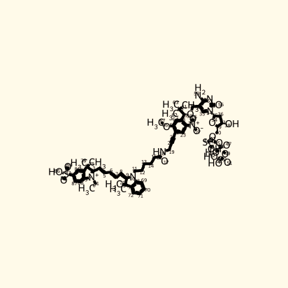 CC[N+]1=C(/C=C/C=C/C=C2/N(CCCCCC(=O)NCC#Cc3cc([N+](=O)[O-])c([C@@H](OCc4cn([C@H]5C[C@@H](O)[C@@H](COP(O)(=S)OP(=O)(O)OP(=O)(O)O)O5)c(=O)nc4N)C(C)(C)C)cc3OC)c3ccccc3C2(C)C)C(C)(C)c2cc(S(=O)(=O)O)ccc21